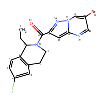 CCC1c2ccc(F)cc2CCN1C(=O)c1cc2ncc(Br)cn2n1